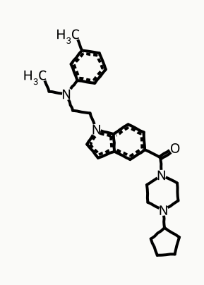 CCN(CCn1ccc2cc(C(=O)N3CCN(C4CCCC4)CC3)ccc21)c1cccc(C)c1